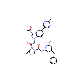 CC(=O)c1nn(CC(=O)N2C(C(=O)Nc3cc(Cc4ccccc4)cc(Br)n3)C[C@@]3(C)CC23)c2ccc(-c3cnc(C)nc3)cc12